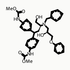 COC(=O)Nc1ccc(C(C[C@@H](CO)N(Cc2ccccc2)C[C@H](O)COc2ccccc2)c2ccc(NC(=O)OC)cc2)cc1